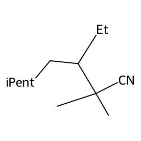 CCCC(C)CC(CC)C(C)(C)C#N